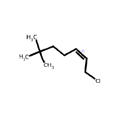 CC(C)(C)CC/C=C\CCl